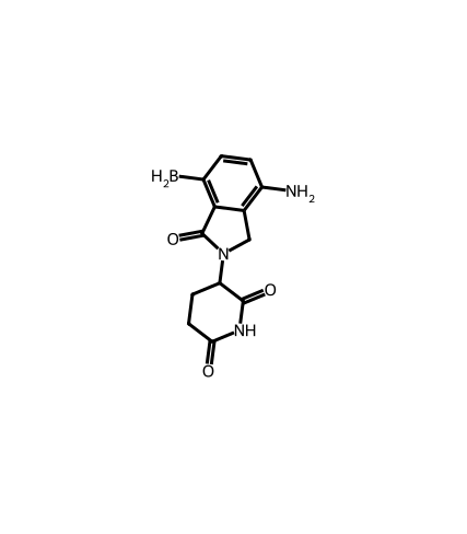 Bc1ccc(N)c2c1C(=O)N(C1CCC(=O)NC1=O)C2